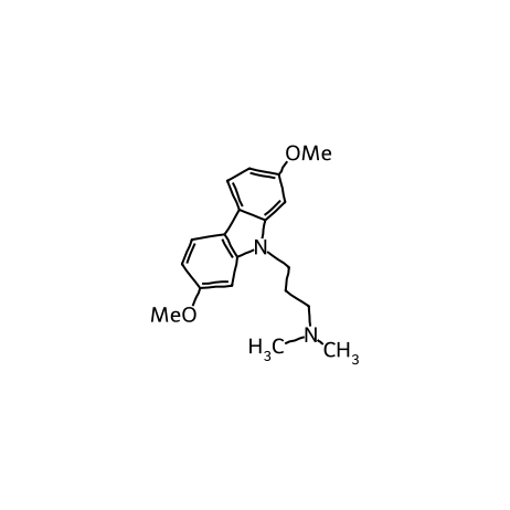 COc1ccc2c3ccc(OC)cc3n(CCCN(C)C)c2c1